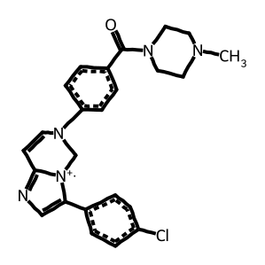 CN1CCN(C(=O)c2ccc(N3C=CC4=NC=C(c5ccc(Cl)cc5)[N+]4C3)cc2)CC1